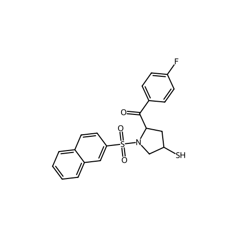 O=C(c1ccc(F)cc1)C1CC(S)CN1S(=O)(=O)c1ccc2ccccc2c1